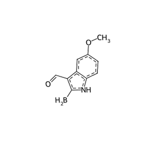 Bc1[nH]c2ccc(OC)cc2c1C=O